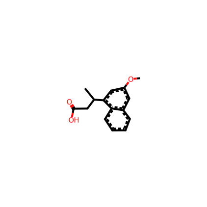 COc1cc(C(C)CC(=O)O)c2ccccc2c1